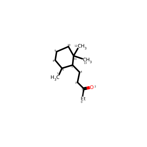 CCC(=O)CCC1C(C)CCCC1(C)C